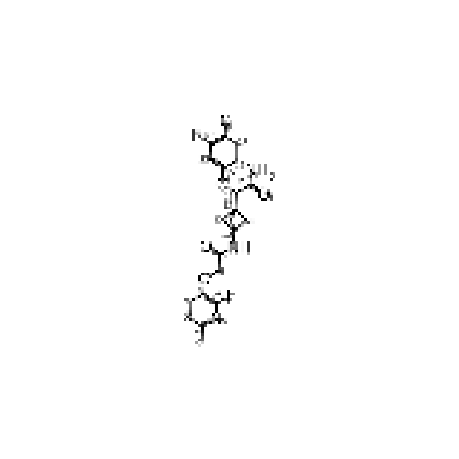 Cc1ccc(OCC(=O)NC23CC(C(Oc4ccc(Cl)c(F)c4)C(N)=O)(C2)C3)c(F)n1